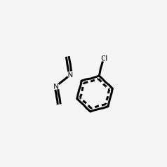 C=NN=C.Clc1ccccc1